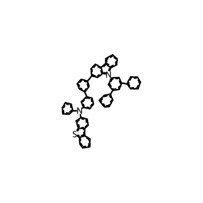 c1ccc(-c2cc(-c3ccccc3)cc(-n3c4ccccc4c4ccc(-c5cccc(-c6cccc(N(c7ccccc7)c7ccc8c(c7)sc7ccccc78)c6)c5)cc43)c2)cc1